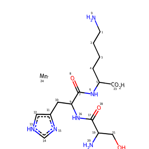 NCCCCC(NC(=O)C(Cc1c[nH]cn1)NC(=O)C(N)CO)C(=O)O.[Mn]